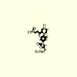 CCN(CC)CCC(=S)C1CNCCN1c1ccc(N2C[C@H](CNC(C)=O)OC2=O)cc1F